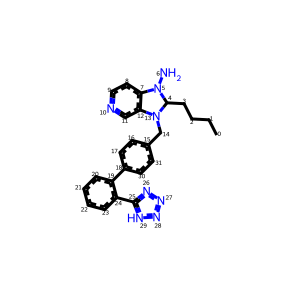 CCCCC1N(N)c2ccncc2N1Cc1ccc(-c2ccccc2-c2nnn[nH]2)cc1